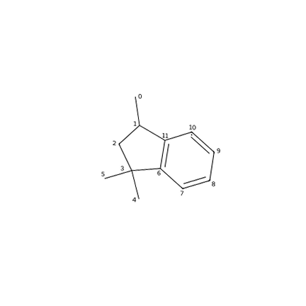 CC1CC(C)(C)c2ccc[c]c21